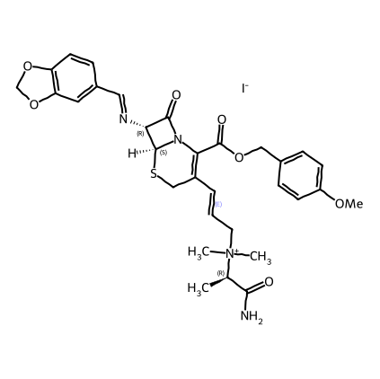 COc1ccc(COC(=O)C2=C(/C=C/C[N+](C)(C)[C@H](C)C(N)=O)CS[C@H]3[C@H](N=Cc4ccc5c(c4)OCO5)C(=O)N23)cc1.[I-]